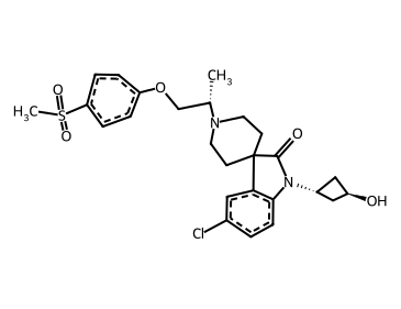 C[C@@H](COc1ccc(S(C)(=O)=O)cc1)N1CCC2(CC1)C(=O)N([C@H]1C[C@H](O)C1)c1ccc(Cl)cc12